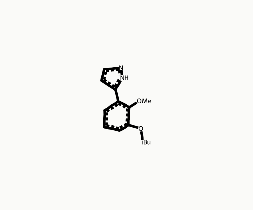 CCC(C)Oc1cccc(-c2ccn[nH]2)c1OC